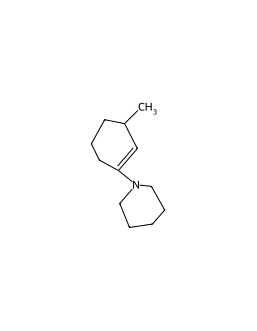 CC1C=C(N2CCCCC2)CCC1